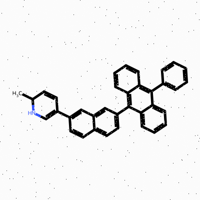 CC1C=CC(c2ccc3ccc(-c4c5ccccc5c(-c5ccccc5)c5ccccc45)cc3c2)=CN1